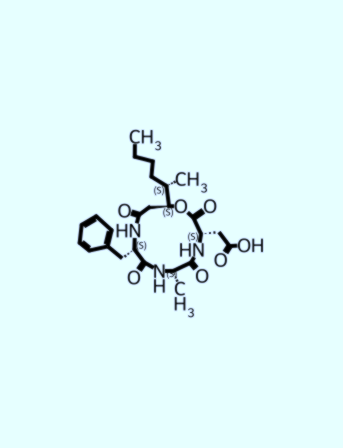 CCCC[C@H](C)[C@@H]1CC(=O)N[C@@H](Cc2ccccc2)C(=O)N[C@@H](C)C(=O)N[C@@H](CC(=O)O)C(=O)O1